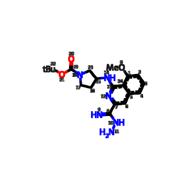 COc1cccc2cc(C(=N)NN)nc(NC3CCN(C(=O)OC(C)(C)C)C3)c12